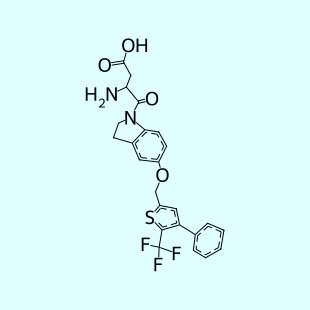 NC(CC(=O)O)C(=O)N1CCc2cc(OCc3cc(-c4ccccc4)c(C(F)(F)F)s3)ccc21